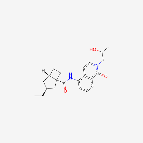 CC[C@H]1C[C@@H]2CCC2(C(=O)Nc2cccc3c(=O)n(CC(C)O)ccc23)C1